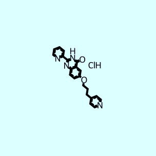 Cl.O=c1[nH]c(-c2ccccn2)nc2ccc(OCCCc3ccncc3)cc12